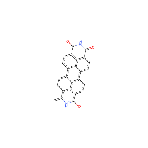 C=c1[nH]c(=O)c2ccc3c4ccc5c6c(ccc(c7ccc1c2c73)c64)C(=O)NC5=O